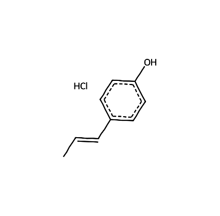 CC=Cc1ccc(O)cc1.Cl